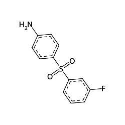 Nc1ccc(S(=O)(=O)c2cccc(F)c2)cc1